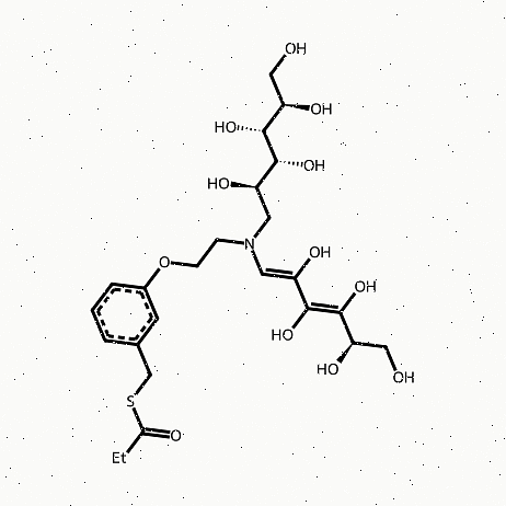 CCC(=O)SCc1cccc(OCCN(/C=C(O)/C(O)=C(\O)[C@H](O)CO)C[C@@H](O)[C@@H](O)[C@H](O)[C@H](O)CO)c1